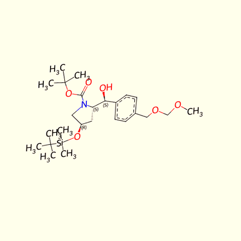 COCOCc1ccc([C@H](O)[C@@H]2C[C@@H](O[Si](C)(C)C(C)(C)C)CN2C(=O)OC(C)(C)C)cc1